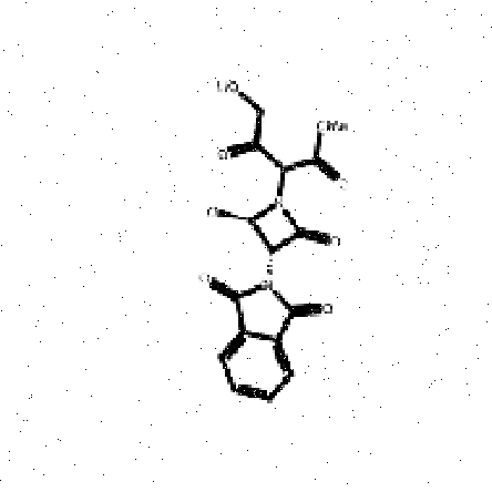 COC(=O)C(C(=O)CO)N1C(=O)[C@H](N2C(=O)c3ccccc3C2=O)[C@H]1Cl